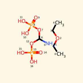 CCOCC.NC(OP(=O)(O)O)OP(=O)(O)O